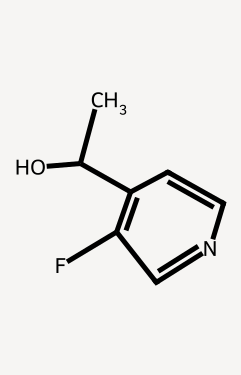 CC(O)c1ccncc1F